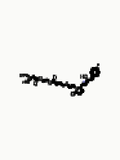 CCCN(CCC)CC(=O)OCCOC(=O)CCCSCCN1C(=O)CC[C@@H]1/C=C/[C@@H](O)Cc1ccc(F)cc1